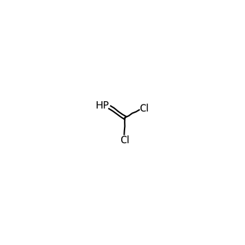 P=C(Cl)Cl